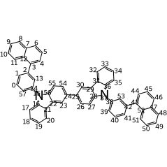 c1cc(-c2cccc3ccccc23)cc(-n2c3ccccc3c3cc(-c4ccc5c(c4)c4ccccc4n5-c4cccc(-c5cccc6ccccc56)c4)ccc32)c1